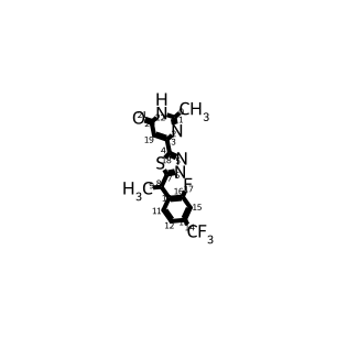 Cc1nc(-c2nnc(C(C)c3ccc(C(F)(F)F)cc3F)s2)cc(=O)[nH]1